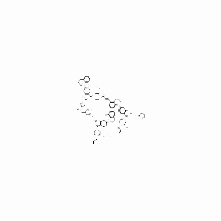 C=CC(=O)N1CCN(c2nc(OC[C@@H]3CC(CN(C)C4CN(c5nc6c(c(N7CCN(C(=O)/C=C/c8ccc(C#N)c9c8CCCN9[C@@H]8CCc9c(nc(OC[C@@H]%10CCCN%10C)nc9N9CCN(C(=O)C=C)[C@@H](CC#N)C9)C8)[C@@H](CC#N)C7)n5)CC[C@@H](N5CCCc7cccc(C#N)c75)C6)C4)CN3C)nc3c2CC[C@@H](N2CCc4cccc(Cl)c42)C3)C[C@@H]1CC#N